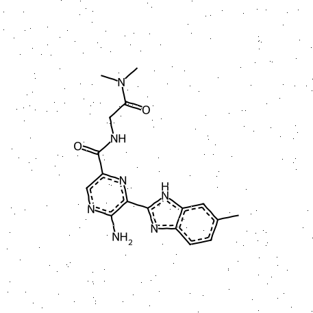 Cc1ccc2nc(-c3nc(C(=O)NCC(=O)N(C)C)cnc3N)[nH]c2c1